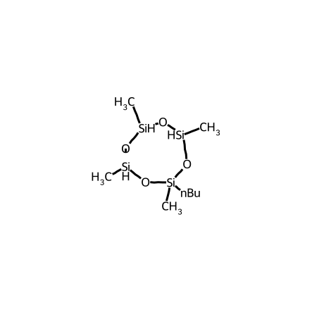 CCCC[Si]1(C)O[SiH](C)O[SiH](C)O[SiH](C)O1